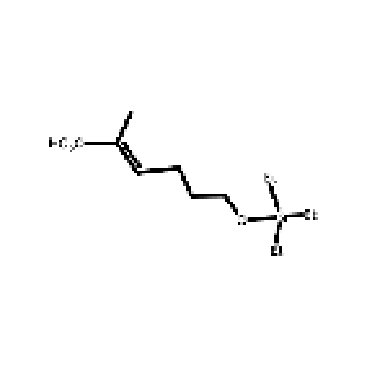 CC[Si](CC)(CC)OCCCC=C(C)C(=O)O